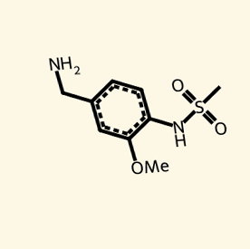 COc1cc(CN)ccc1NS(C)(=O)=O